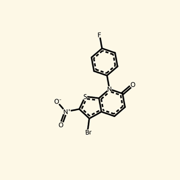 O=c1ccc2c(Br)c([N+](=O)[O-])sc2n1-c1ccc(F)cc1